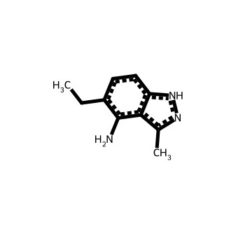 CCc1ccc2[nH]nc(C)c2c1N